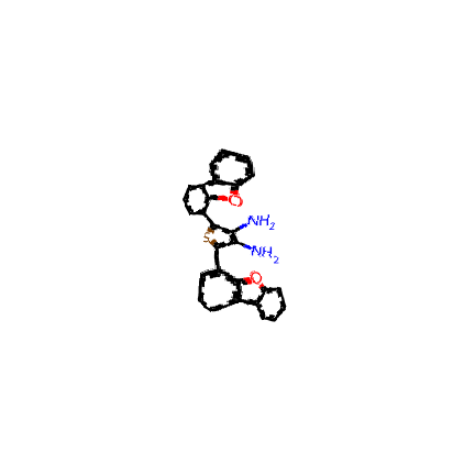 Nc1c(-c2cccc3c2oc2ccccc23)sc(-c2cccc3c2oc2ccccc23)c1N